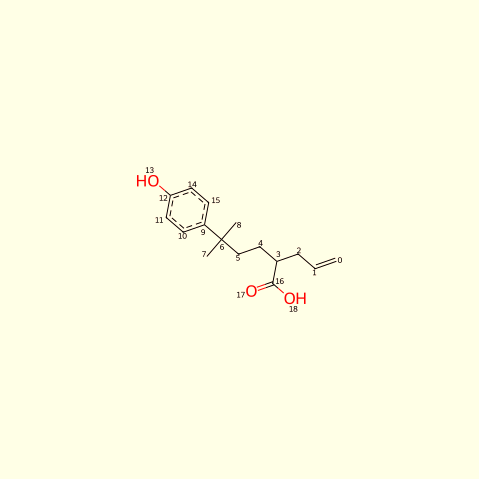 C=CCC(CCC(C)(C)c1ccc(O)cc1)C(=O)O